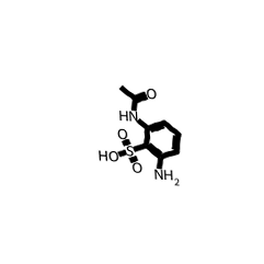 CC(=O)Nc1cccc(N)c1S(=O)(=O)O